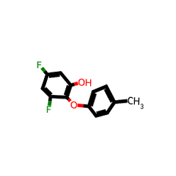 Cc1ccc(Oc2c(O)cc(F)cc2F)cc1